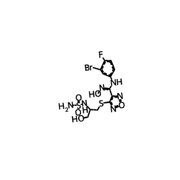 NS(=O)(=O)NC(CO)CSc1nonc1C(=NO)Nc1ccc(F)c(Br)c1